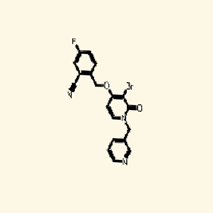 N#Cc1cc(F)ccc1COc1ccn(Cc2cccnc2)c(=O)c1Br